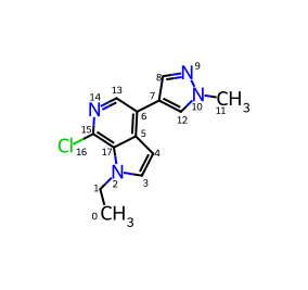 CCn1ccc2c(-c3cnn(C)c3)cnc(Cl)c21